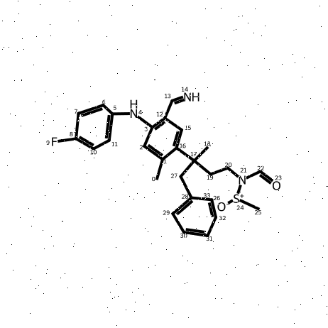 Cc1cc(Nc2ccc(F)cc2)c(C=N)cc1C(C)(CCN(C=O)[S+](C)[O-])Cc1ccccc1